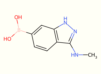 CNc1n[nH]c2cc(B(O)O)ccc12